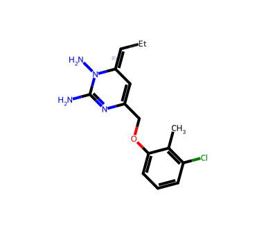 CC/C=C1\C=C(COc2cccc(Cl)c2C)N=C(N)N1N